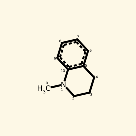 CN1CC[CH]c2ccccc21